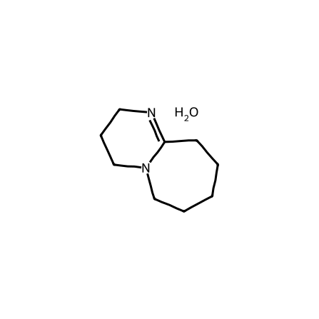 C1CCC2=NCCCN2CC1.O